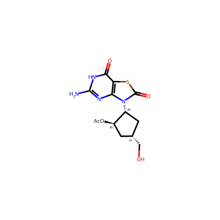 CC(=O)O[C@@H]1C[C@@H](CO)C[C@H]1n1c(=O)sc2c(=O)[nH]c(N)nc21